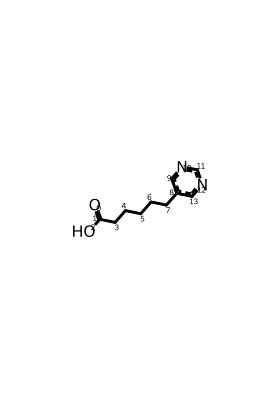 O=C(O)CCCCCc1cncnc1